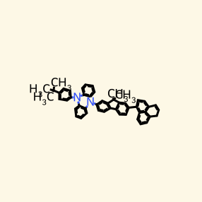 CC(C)(C)c1ccc(N2c3ccccc3N(c3ccc4c(c3)C(C)(C)c3cc(-c5ccc6c7c(cccc57)CC=C6)ccc3-4)c3ccccc32)cc1